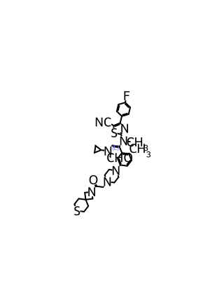 Cc1ccc(N2CCN(CC(=O)N3CC4(CCSCC4)C3)CC2)cc1/C(=C\N(C=O)C1CC1)N(C)c1nc(-c2ccc(F)cc2)c(C#N)s1